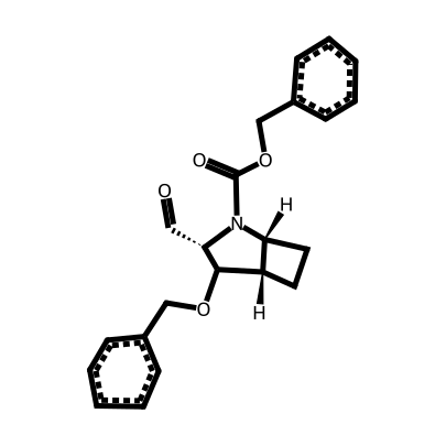 O=C[C@H]1C(OCc2ccccc2)[C@H]2CC[C@H]2N1C(=O)OCc1ccccc1